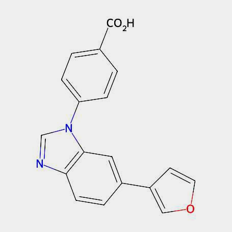 O=C(O)c1ccc(-n2cnc3ccc(-c4ccoc4)cc32)cc1